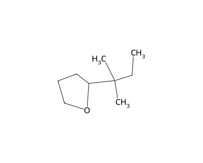 CCC(C)(C)C1CCCO1